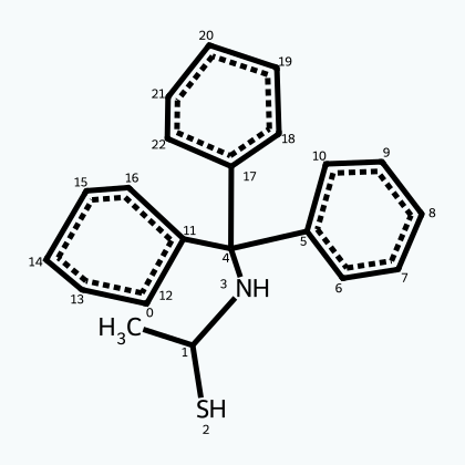 CC(S)NC(c1ccccc1)(c1ccccc1)c1ccccc1